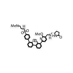 CNCCNS(=O)(=O)c1ccc(-c2cccc(-c3cccc(-c4ccc(CNC[C@@H]5CCC(=O)N5)c(OC)n4)c3Cl)c2Cl)cc1